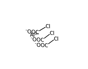 O=C([O-])Cl.O=C([O-])Cl.O=C([O-])Cl.[Al+3]